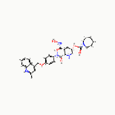 Cc1cc(COc2ccc(NC(=O)[C@H]3NC[C@@H](OC(=O)N4CCCCCC4)C[C@@H]3C(=O)NO)cc2)c2ccccc2n1